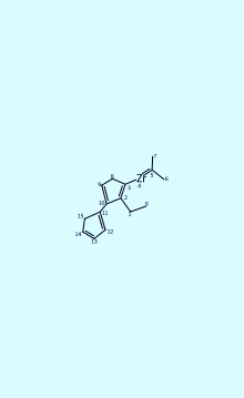 CCC1=[C]([Zr]=[C](C)C)CC=C1C1=CC=CC1